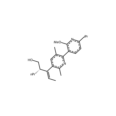 C/C=C(\c1cc(C)c(-c2ccc(C(C)C)nc2OC)nc1C)[C@@H](CO)CCC